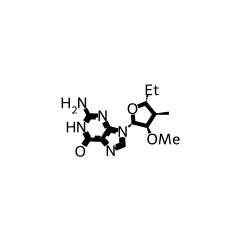 CC[C@H]1O[C@@H](n2cnc3c(=O)[nH]c(N)nc32)[C@H](OC)[C@@H]1C